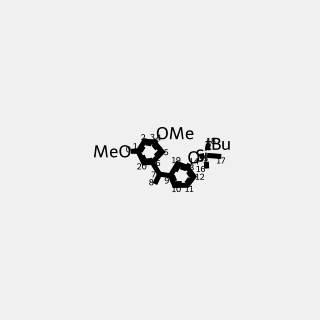 COc1cc(OC)cc(C(C)c2cccc(O[Si](C)(C)C(C)(C)C)c2)c1